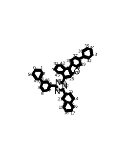 c1ccc(-c2cccc(-c3nc(-c4ccc5ccccc5c4)nc(-c4cc5oc6cc(-c7ccccc7)ccc6c5c5ccccc45)n3)c2)cc1